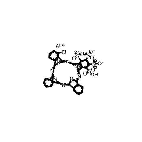 O=S(=O)([O-])c1c(S(=O)(=O)[O-])c(S(=O)(=O)O)c2c3nc4nc(nc5[nH]c(nc6nc(nc([nH]3)c2c1S(=O)(=O)[O-])-c1c(Cl)cccc1-6)c1ccccc51)-c1ccccc1-4.[Al+3]